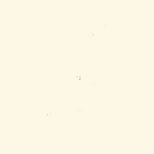 CSOCCN(CC(=O)OC(C)(C)C)SC